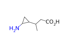 CC(CC(=O)O)C1CC1N